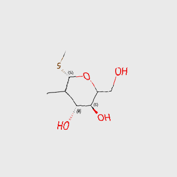 CS[C@@H]1OC(CO)[C@@H](O)[C@H](O)C1C